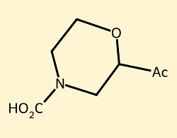 CC(=O)C1CN(C(=O)O)CCO1